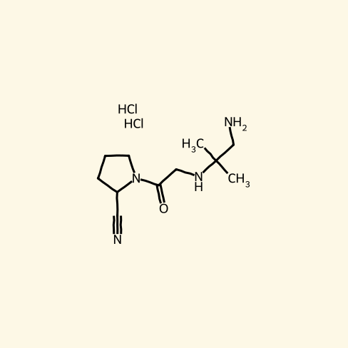 CC(C)(CN)NCC(=O)N1CCCC1C#N.Cl.Cl